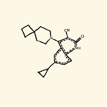 N#Cc1c(N2CCC3(CCC3)CC2)c2cc(C3CC3)ccc2[nH]c1=O